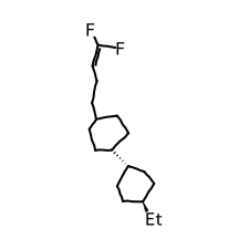 CC[C@H]1CC[C@H](C2CCC(CCC=C(F)F)CC2)CC1